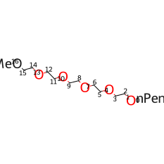 CCCCCOCCOCCOCCOCCOCCOC